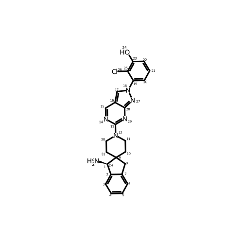 N[C@@H]1c2ccccc2CC12CCN(c1ncc3cn(-c4cccc(O)c4Cl)nc3n1)CC2